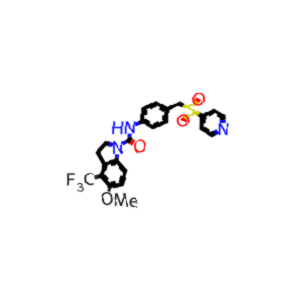 COc1ccc2c(c1C(F)(F)F)CCN2C(=O)Nc1ccc(CS(=O)(=O)c2ccncc2)cc1